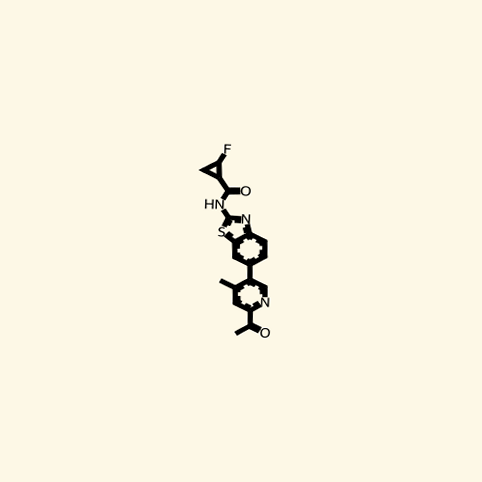 CC(=O)c1cc(C)c(-c2ccc3nc(NC(=O)C4CC4F)sc3c2)cn1